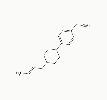 C/C=C/CC1CCC(c2ccc(COC)cc2)CC1